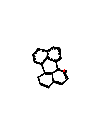 C1=CC2=CC=C3C=CCC4=C3C2(C=C1)c1cccc2cccc4c12